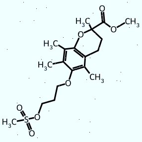 COC(=O)C1(C)CCc2c(C)c(OCCCOS(C)(=O)=O)c(C)c(C)c2O1